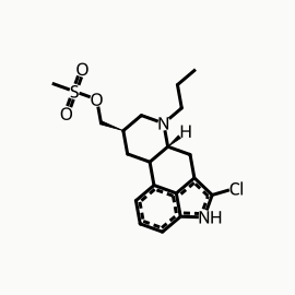 CCCN1C[C@H](COS(C)(=O)=O)CC2c3cccc4[nH]c(Cl)c(c34)C[C@H]21